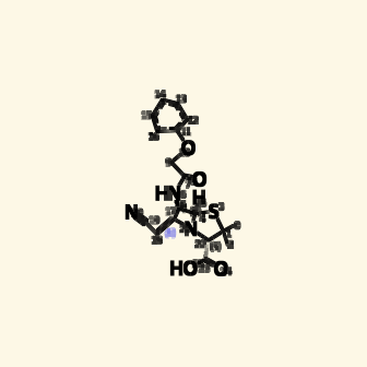 CC1(C)S[C@@H]2[C@H](NC(=O)COc3ccccc3)/C(=C\C#N)N2[C@H]1C(=O)O